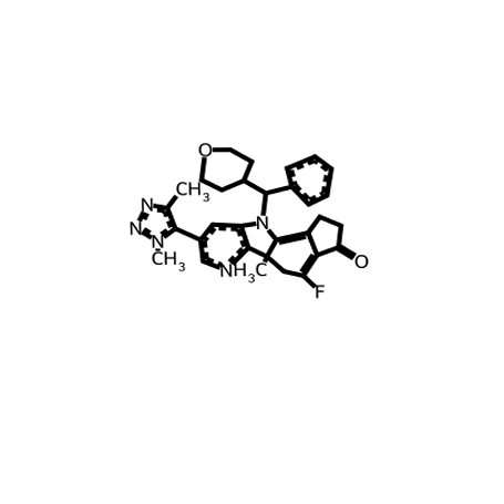 Cc1nnn(C)c1-c1cnc2c(c1)N(C(c1ccccc1)C1CCOCC1)C1=C3CCC(=O)C3=C(F)CC12C